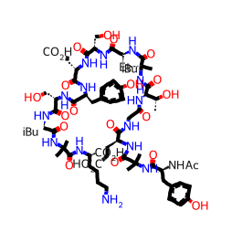 CC[C@H](C)[C@H](NC(=O)[C@H](CO)NC(=O)[C@H](Cc1ccc(O)cc1)NC(=O)[C@H](CC(=O)O)NC(=O)[C@H](CO)NC(=O)[C@@H](NC(=O)[C@](C)(CC)NC(=O)[C@@H](NC(=O)CNC(=O)[C@H](CCC(=O)O)NC(=O)C(C)(C)NC(=O)[C@H](Cc1ccc(O)cc1)NC(C)=O)[C@@H](C)O)[C@@H](C)CC)C(=O)NC(C)(C)C(=O)N[C@@H](CCCCN)C(=O)O